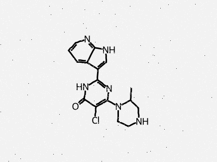 CC1CNCCN1c1nc(-c2c[nH]c3ncccc23)[nH]c(=O)c1Cl